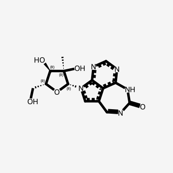 C[C@@]1(O)[C@H](O)[C@@H](CO)O[C@H]1n1cc2c3c(ncnc31)NC(=O)N=C2